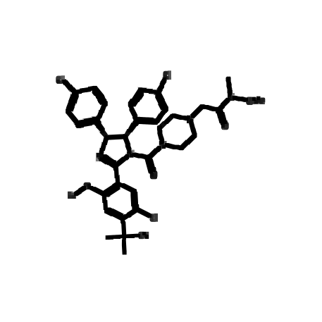 CCOc1cc(C(C)(C)C#N)c(Cl)cc1C1=N[C@@H](c2ccc(Cl)cc2)[C@@H](c2ccc(Cl)cc2)N1C(=O)N1CCN(CC(=O)N(C)OC)CC1